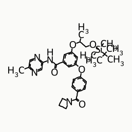 Cc1cnc(NC(=O)c2cc(Oc3ccc(C(=O)N4CCC4)cc3)cc(OC(C)CO[Si](C)(C)C(C)(C)C)c2)cn1